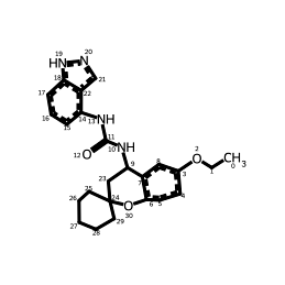 CCOc1ccc2c(c1)C(NC(=O)Nc1cccc3[nH]ncc13)CC1(CCCCC1)O2